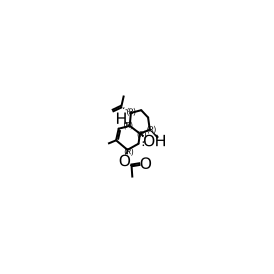 C=C(C)[C@@H]1CC[C@@H](C)[C@]2(O)[C][C@@H](OC(C)=O)C(C)=C[C@@H]12